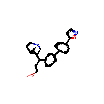 OCCC(c1cccc(-c2ccc(-c3ccno3)cc2)c1)C1CN2CCC1CC2